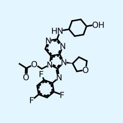 CC(=O)OCn1/c(=N\c2c(F)cc(F)cc2F)n([C@H]2CCOC2)c2nc(NC3CCC(O)CC3)ncc21